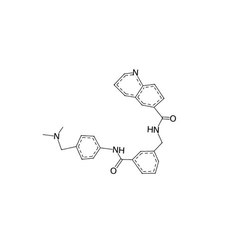 CN(C)Cc1ccc(NC(=O)c2cccc(CNC(=O)c3ccc4ncccc4c3)c2)cc1